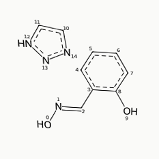 ON=Cc1ccccc1O.c1c[nH]nn1